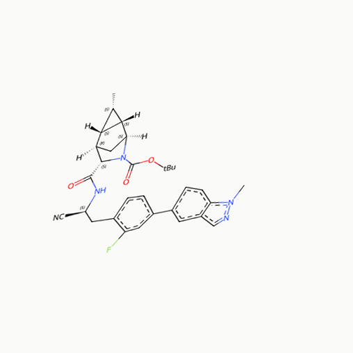 C[C@H]1[C@H]2[C@H]3C[C@@H]([C@@H]12)N(C(=O)OC(C)(C)C)[C@@H]3C(=O)N[C@H](C#N)Cc1ccc(-c2ccc3c(cnn3C)c2)cc1F